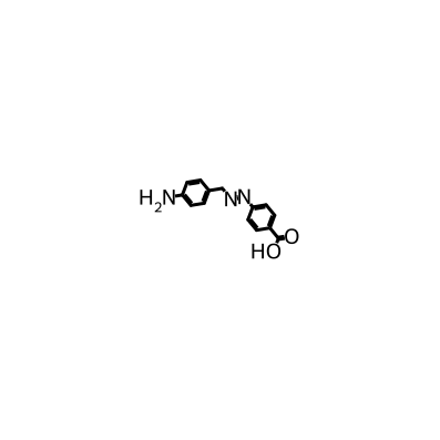 Nc1ccc(CN=Nc2ccc(C(=O)O)cc2)cc1